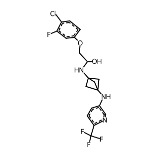 OC(COc1ccc(Cl)c(F)c1)NC12CC(Nc3ccc(C(F)(F)F)nc3)(C1)C2